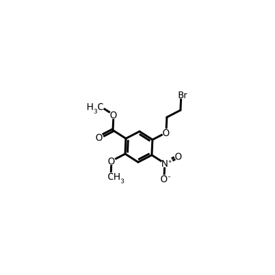 COC(=O)c1cc(OCCBr)c([N+](=O)[O-])cc1OC